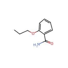 CCCOc1ccccc1C(N)=O